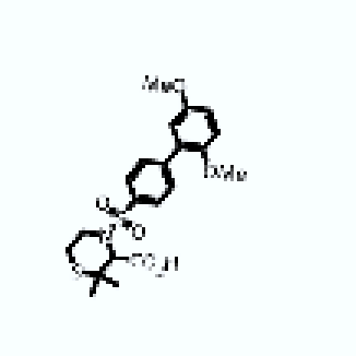 COc1ccc(OC)c(-c2ccc(S(=O)(=O)N3CCSC(C)(C)[C@@H]3C(=O)O)cc2)c1